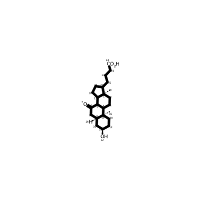 C[C@]12CCC3C(C(=O)C[C@@H]4C[C@H](O)CC[C@]34C)C1CCC2CCCC(=O)O